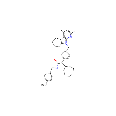 COc1ccc(CNC(=O)C(c2ccc(Cn3c4c(c5c(C)cc(C)nc53)CCCC4)cc2)C2CCCCCC2)cc1